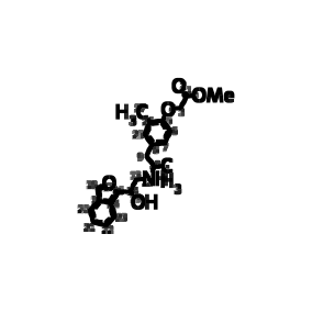 COC(=O)COc1ccc(CC(C)NCC(O)c2occ3ccccc23)cc1C